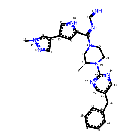 C[C@@H]1CN(/C(=N/C=N)c2cc(-c3cnn(C)c3)c[nH]2)CCN1c1ncc(Cc2ccccc2)cn1